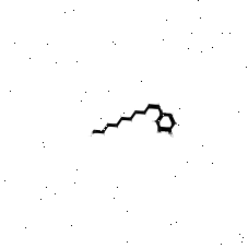 O=C(O)CCCCCCCC/C=C\c1ccc(F)c(F)c1